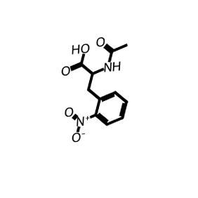 CC(=O)NC(Cc1ccccc1[N+](=O)[O-])C(=O)O